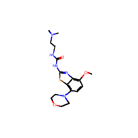 COc1ccc(N2CCOCC2)c2sc(NC(=O)NCCN(C)C)nc12